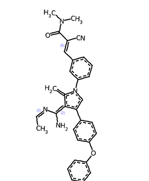 C=c1/c(=C(N)\N=C/C)c(-c2ccc(Oc3ccccc3)cc2)cn1-c1cccc(/C=C(\C#N)C(=O)N(C)C)c1